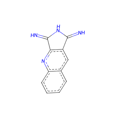 N=C1NC(=N)c2nc3ccccc3cc21